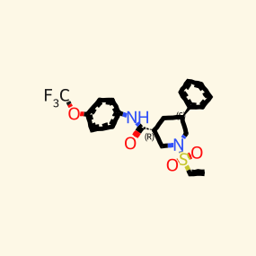 C=CS(=O)(=O)N1C[C@H](C(=O)Nc2ccc(OC(F)(F)F)cc2)C[C@@H](c2ccccc2)C1